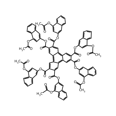 CC(=O)Oc1cc(OC(=O)c2cc3c4cc(C(=O)Oc5cc(OC(C)=O)c6ccccc6c5)c(C(=O)Oc5cc(OC(C)=O)c6ccccc6c5)cc4c4cc(C(=O)Oc5cc(OC(C)=O)c6ccccc6c5)c(C(=O)Oc5cc(OC(C)=O)c6ccccc6c5)cc4c3cc2C(=O)Oc2cc(OC(C)=O)c3ccccc3c2)cc2ccccc12